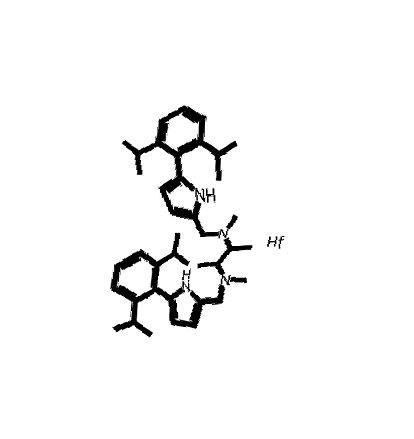 CC(C)c1cccc(C(C)C)c1-c1ccc(CN(C)C(C)C(C)N(C)Cc2ccc(-c3c(C(C)C)cccc3C(C)C)[nH]2)[nH]1.[Hf]